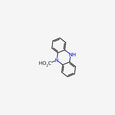 O=C(O)N1c2ccccc2Nc2ccccc21